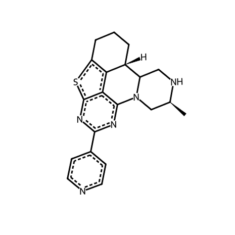 C[C@H]1CN2c3nc(-c4ccncc4)nc4sc5c(c34)[C@H](CCC5)C2CN1